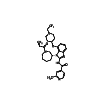 C=CC(=O)N1CCCC[C@@H](n2c(NC(=O)c3ccnc(C)c3)nc3cccc(OC4CCN(CC(F)(F)F)CC4)c32)C1